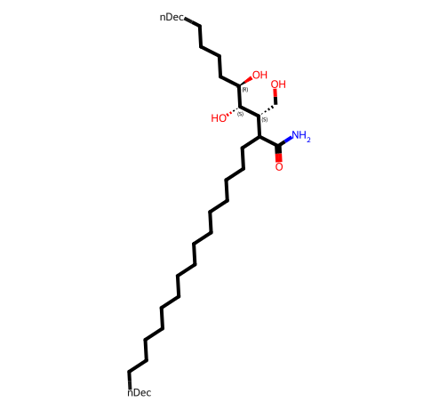 CCCCCCCCCCCCCCCCCCCCCCCCCC(C(N)=O)[C@@H](CO)[C@H](O)[C@H](O)CCCCCCCCCCCCCC